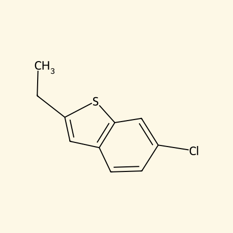 CCc1cc2ccc(Cl)cc2s1